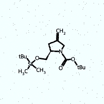 C=C1C[C@H](CO[Si](C)(C)C(C)(C)C)N(C(=O)OC(C)(C)C)C1